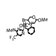 CNc1nc(Nc2ccccc2[N+]2(C=O)CC(OC)OCC2Br)ncc1C(F)(F)F